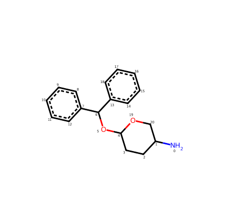 NC1CCC(OC(c2ccccc2)c2ccccc2)OC1